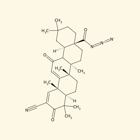 CC1(C)CC[C@]2(C(=O)N=[N+]=[N-])CC[C@]3(C)C(C(=O)C=C4[C@@]5(C)C=C(C#N)C(=O)C(C)(C)[C@@H]5CC[C@]43C)[C@H]2C1